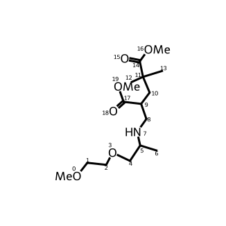 COCCOCC(C)NCC(CC(C)(C)C(=O)OC)C(=O)OC